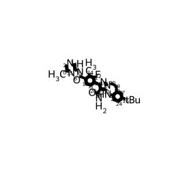 Cc1cncc(NC(=O)c2ccc(-c3nn4c(c3C(N)=O)Nc3ccc(C(C)(C)C)cc3CC4)c(F)c2C)n1